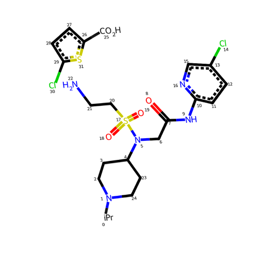 CC(C)N1CCC(N(CC(=O)Nc2ccc(Cl)cn2)S(=O)(=O)CCN)CC1.O=C(O)c1ccc(Cl)s1